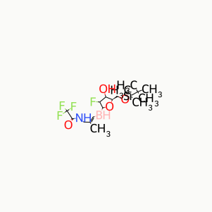 C/C(=C\B[C@@H]1O[C@H](CO[Si](C)(C)C(C)(C)C)C(O)C1F)CNC(=O)C(F)(F)F